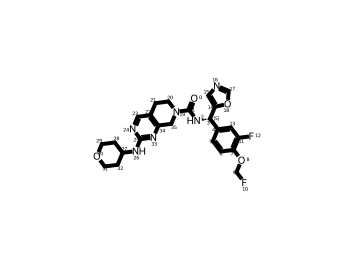 O=C(N[C@@H](c1ccc(OCF)c(F)c1)c1cnco1)N1CCc2cnc(NC3CCOCC3)nc2C1